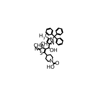 CN=c1sc(C2CCN(C(=O)O)CC2)c(C(O)c2cc(C)n(C(c3ccccc3)(c3ccccc3)c3ccccc3)n2)n1C